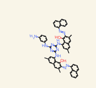 Cc1cc(Nc2nc(Nc3cccc(N)c3)nc(Nc3cc(C)cc4cc(C)c(N=Nc5cccc6ccccc56)c(O)c34)n2)c2c(O)c(N=Nc3cccc4ccccc34)c(C)cc2c1